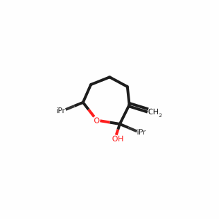 C=C1CCCC(C(C)C)OC1(O)C(C)C